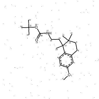 COc1ccc2c(c1)CCC(C)(C)C2(C)CCNC(=O)OC(C)(C)C